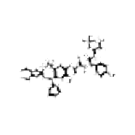 CCCCC1(CCCC)CN(c2ccccc2)c2cc(SC)c(OC(C)C(=O)N[C@@H](C(=O)N[C@@H](C[Si](C)(C)C)C(=O)O)c3ccc(O)cc3)cc2S(=O)(=O)N1